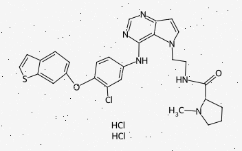 CN1CCCC1C(=O)NCCn1ccc2ncnc(Nc3ccc(Oc4ccc5ccsc5c4)c(Cl)c3)c21.Cl.Cl